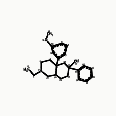 CCN1CCC2(c3cccc(OC)c3)CC(O)(c3ccccc3)CCC2C1